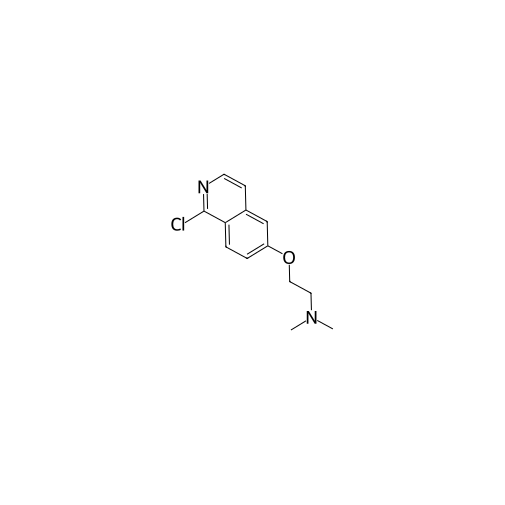 CN(C)CCOc1ccc2c(Cl)nccc2c1